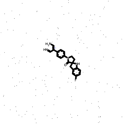 N=C/C(=C\N)c1ccc(N2CCC3(Cc4cc(F)ccc4N3)C2=O)cc1